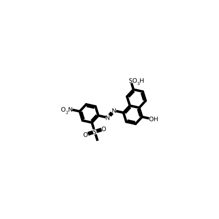 CS(=O)(=O)c1cc([N+](=O)[O-])ccc1N=Nc1ccc(O)c2ccc(S(=O)(=O)O)cc12